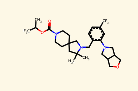 CC(OC(=O)N1CCC2(CC1)CN(Cc1ccc(C(F)(F)F)cc1N1CC3COCC3C1)C(C)(C)C2)C(F)(F)F